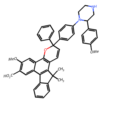 COc1ccc(C2CNCCN2c2ccc(C3(c4ccccc4)C=Cc4c5c(c6cc(C(=O)O)c(OC)cc6c4O3)-c3ccccc3C5(C)C)cc2)cc1